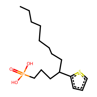 CCCCCCCCC(CCCP(=O)(O)O)c1cccs1